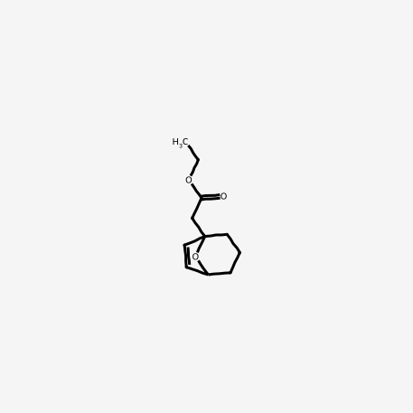 CCOC(=O)CC12C=CC(CCC1)O2